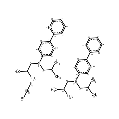 CC(C)C[SiH](CC(C)C)c1ccc(-c2ccccn2)nc1.CC(C)C[SiH](CC(C)C)c1ccc(-c2ccccn2)nc1.[Br][Ru][Br]